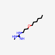 CCCCCCOCCCNC(=N)NC